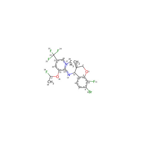 C=C1COc2c(ccc(Br)c2F)C1/N=c1/c(OC(C)F)cc(C(F)(F)F)cn1C